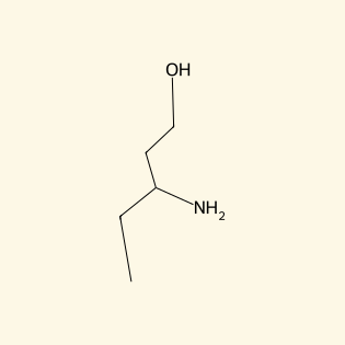 CCC(N)CCO